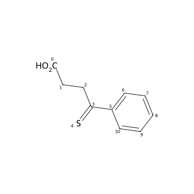 O=C(O)CCC(=S)c1ccccc1